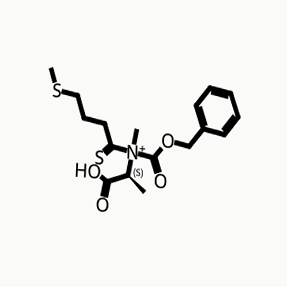 CSCCCC(=S)[N+](C)(C(=O)OCc1ccccc1)[C@@H](C)C(=O)O